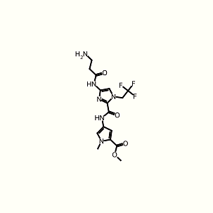 COC(=O)c1cc(NC(=O)c2nc(NC(=O)CCN)cn2CC(F)(F)F)cn1C